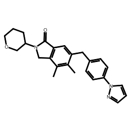 Cc1c(Cc2ccc(-n3cccn3)cc2)cc2c(c1C)CN(C1CCCOC1)C2=O